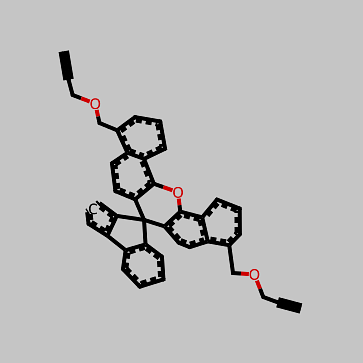 C#CCOCc1cccc2c3c(ccc12)C1(c2ccccc2-c2ccccc21)c1ccc2c(COCC#C)cccc2c1O3